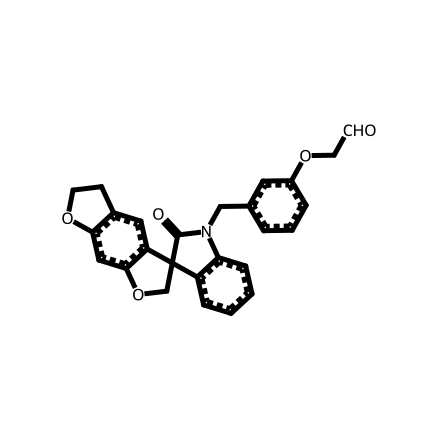 O=CCOc1cccc(CN2C(=O)C3(COc4cc5c(cc43)CCO5)c3ccccc32)c1